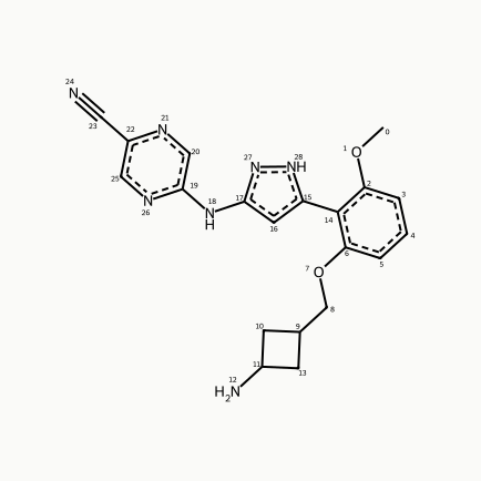 COc1cccc(OCC2CC(N)C2)c1-c1cc(Nc2cnc(C#N)cn2)n[nH]1